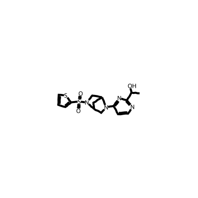 CC(O)c1nccc(N2CC3CC2CN3S(=O)(=O)c2cccs2)n1